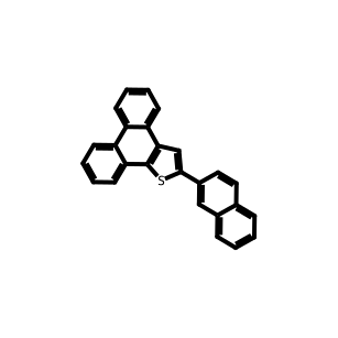 c1ccc2cc(-c3cc4c5ccccc5c5ccccc5c4s3)ccc2c1